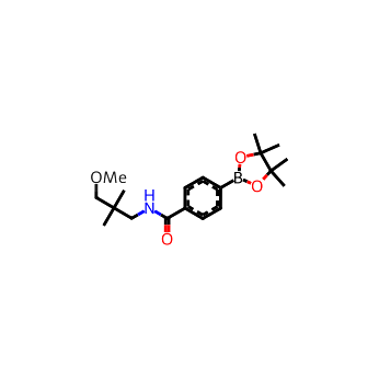 COCC(C)(C)CNC(=O)c1ccc(B2OC(C)(C)C(C)(C)O2)cc1